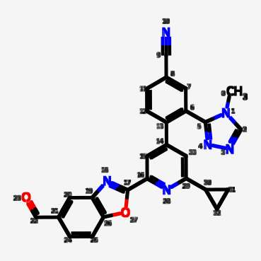 Cn1cnnc1-c1cc(C#N)ccc1-c1cc(-c2nc3cc(C=O)ccc3o2)nc(C2CC2)c1